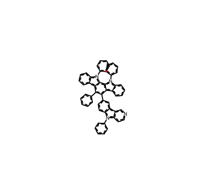 c1ccc(-c2c(-c3ccc4c(c3)c3cnccc3n4-c3ccccc3)c3c4ccccc4n(-c4ccccc4)c3c3c2c2ccccc2n3-c2ccccc2)cc1